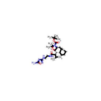 CC(C)[C@H](C[C@@H]1OC(C)(C)N(C(=O)OC(C)(C)C)[C@H]1CC1CCCCC1)C(=O)NCCNc1noc(N)n1